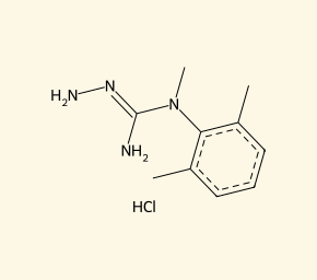 Cc1cccc(C)c1N(C)/C(N)=N/N.Cl